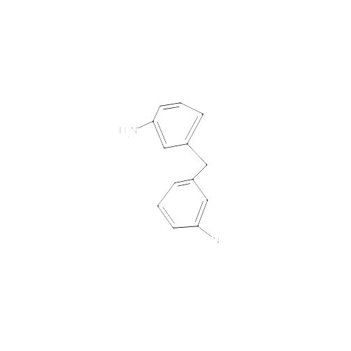 Nc1cccc(Cc2cccc(N)c2)c1